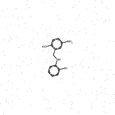 CCc1ccccc1NCc1cc(N)ccc1O